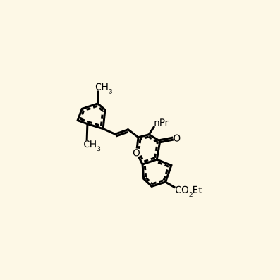 CCCc1c(/C=C/c2cc(C)ccc2C)oc2ccc(C(=O)OCC)cc2c1=O